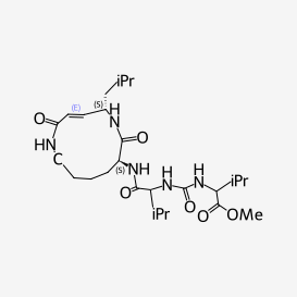 COC(=O)C(NC(=O)NC(C(=O)N[C@H]1CCCCNC(=O)/C=C/[C@H](CC(C)C)NC1=O)C(C)C)C(C)C